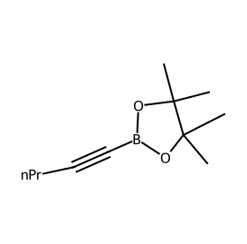 CCCC#CB1OC(C)(C)C(C)(C)O1